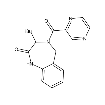 CCC(C)C1C(=O)Nc2ccccc2CN1C(=O)c1cnccn1